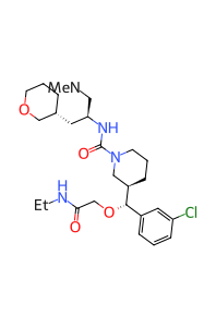 CCNC(=O)CO[C@@H](c1cccc(Cl)c1)[C@@H]1CCCN(C(=O)N[C@H](CNC)C[C@H]2CCCOC2)C1